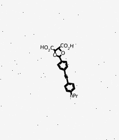 CCCc1ccc(C#Cc2ccc(C3OC(C(=O)O)C(C(=O)O)O3)cc2)cc1